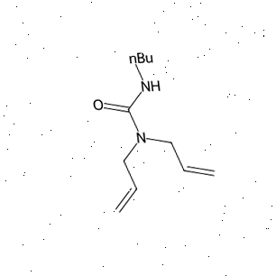 C=CCN(CC=C)C(=O)NCCCC